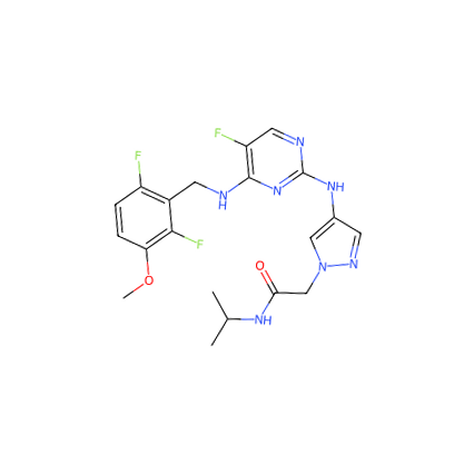 COc1ccc(F)c(CNc2nc(Nc3cnn(CC(=O)NC(C)C)c3)ncc2F)c1F